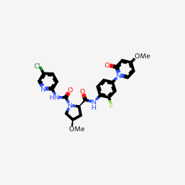 COc1ccn(-c2ccc(NC(=O)[C@H]3C[C@@H](OC)CN3C(=O)Nc3ccc(Cl)cn3)c(F)c2)c(=O)c1